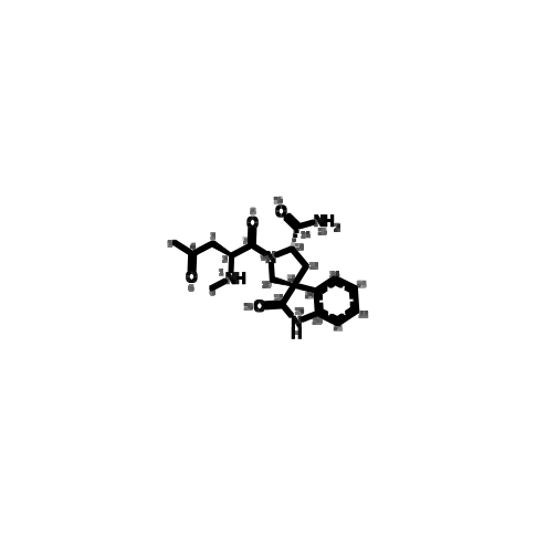 CN[C@@H](CC(C)=O)C(=O)N1C[C@]2(C[C@H]1C(N)=O)C(=O)Nc1ccccc12